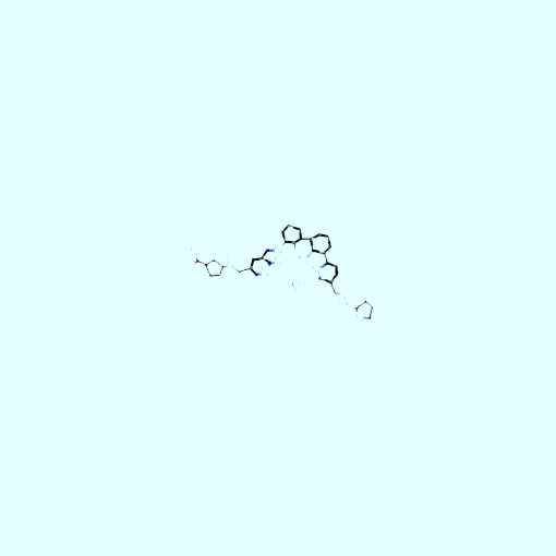 COc1nc(-c2cccc(-c3cccc(-n4cc5cc(CNC6CCC(C(N)=O)C6)cnc5n4)c3Cl)c2Cl)ccc1CNC[C@@H]1CCC(=O)N1